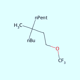 CCCCCC(C)(CCCC)CCOC(F)(F)F